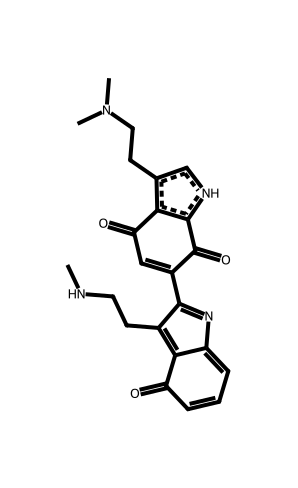 CNCCC1=C2C(=O)C=CC=C2N=C1C1=CC(=O)c2c(CCN(C)C)c[nH]c2C1=O